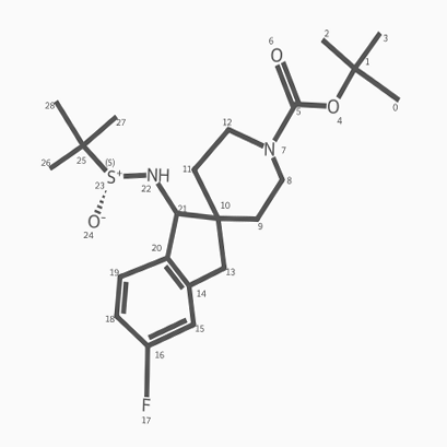 CC(C)(C)OC(=O)N1CCC2(CC1)Cc1cc(F)ccc1C2N[S@+]([O-])C(C)(C)C